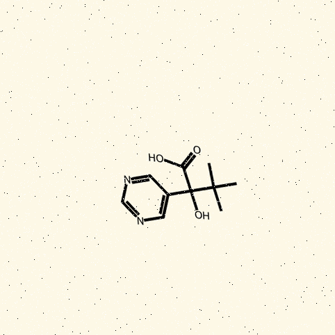 CC(C)(C)C(O)(C(=O)O)c1cncnc1